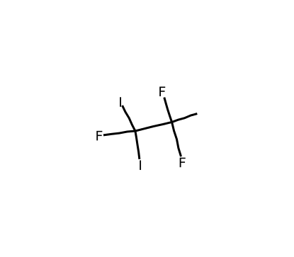 CC(F)(F)C(F)(I)I